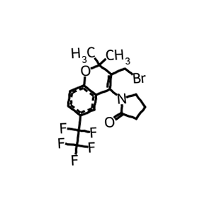 CC1(C)Oc2ccc(C(F)(F)C(F)(F)F)cc2C(N2CCCC2=O)=C1CBr